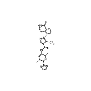 Cc1cc(NC(=O)c2cnn(-c3cccc4c(=O)[nH]ccc34)c2C(F)(F)F)c(C)nc1-n1nccn1